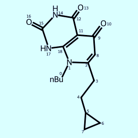 CCCCn1c(CCC2CC2)cc(=O)c2c(=O)[nH]c(=O)[nH]c21